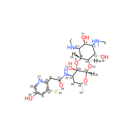 CN[C@@H]1[C@H](O)[C@H](NC)[C@H]2O[C@]3(O)[C@H](O[C@@H]2[C@H]1O)O[C@H](C)C[C@H]3NC(=O)Cc1ncc(O)cc1F